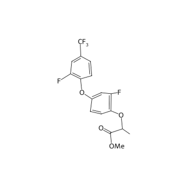 COC(=O)C(C)Oc1ccc(Oc2ccc(C(F)(F)F)cc2F)cc1F